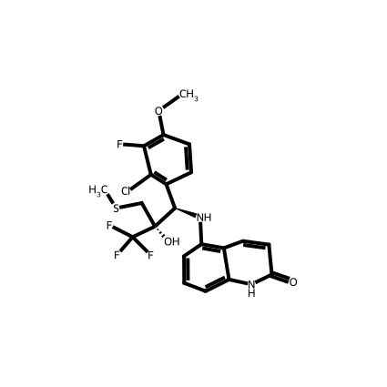 COc1ccc([C@@H](Nc2cccc3[nH]c(=O)ccc23)[C@](O)(CSC)C(F)(F)F)c(Cl)c1F